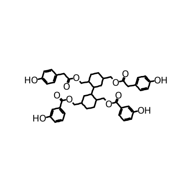 O=C(Cc1ccc(O)cc1)OCC1CCC(COC(=O)Cc2ccc(O)cc2)C(C2CC(COC(=O)c3cccc(O)c3)CCC2COC(=O)c2cccc(O)c2)C1